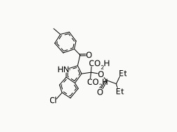 CCC(CC)C(=O)OC(C(=O)O)(C(=O)O)c1c(C(=O)c2ccc(C)cc2)[nH]c2cc(Cl)ccc12